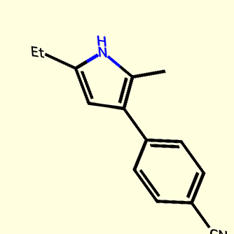 CCc1cc(-c2ccc(C#N)cc2)c(C)[nH]1